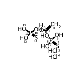 C=CC.Cl.Cl.OP(O)(O)=S.OP(O)(O)=S